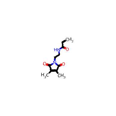 C=CC(=O)NCCN1C(=O)C(C)=C(C)C1=O